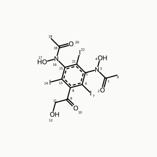 CC(=O)N(O)c1c(I)c(C(=O)CO)c(I)c(N(O)C(C)=O)c1I